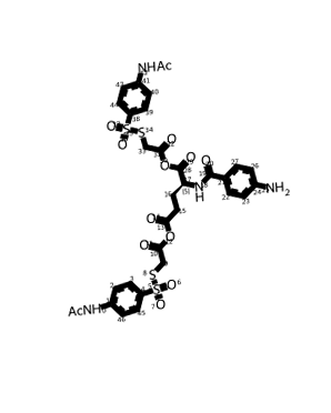 CC(=O)Nc1ccc(S(=O)(=O)SCC(=O)OC(=O)CC[C@H](NC(=O)c2ccc(N)cc2)C(=O)OC(=O)CSS(=O)(=O)c2ccc(NC(C)=O)cc2)cc1